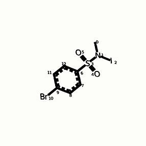 CN(I)S(=O)(=O)c1ccc(Br)cc1